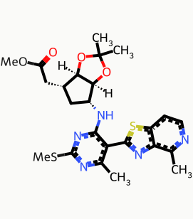 COC(=O)C[C@H]1C[C@@H](Nc2nc(SC)nc(C)c2-c2nc3c(C)nccc3s2)[C@@H]2OC(C)(C)O[C@H]12